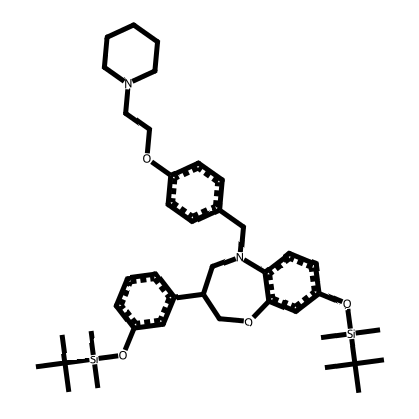 CC(C)(C)[Si](C)(C)Oc1cccc(C2COc3cc(O[Si](C)(C)C(C)(C)C)ccc3N(Cc3ccc(OCCN4CCCCC4)cc3)C2)c1